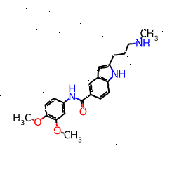 CNCCCc1cc2cc(C(=O)Nc3ccc(OC)c(OC)c3)ccc2[nH]1